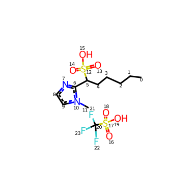 CCCCCC(c1nccn1C)S(=O)(=O)O.O=S(=O)(O)C(F)(F)F